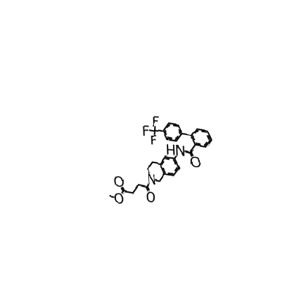 COC(=O)CCC(=O)N1CCc2cc(NC(=O)c3ccccc3-c3ccc(C(F)(F)F)cc3)ccc2C1